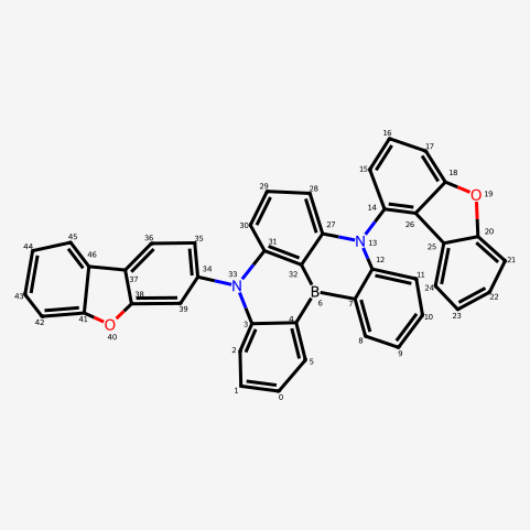 c1ccc2c(c1)B1c3ccccc3N(c3cccc4oc5ccccc5c34)c3cccc(c31)N2c1ccc2c(c1)oc1ccccc12